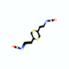 O=C=NCCC1CSC(CCN=C=O)CS1